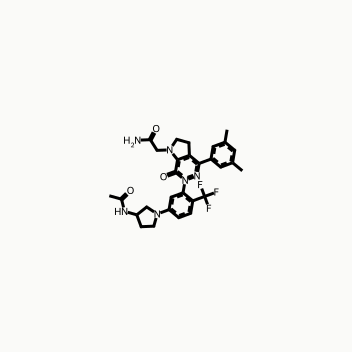 CC(=O)NC1CCN(c2ccc(C(F)(F)F)c(-n3nc(-c4cc(C)cc(C)c4)c4c(c3=O)N(CC(N)=O)CC4)c2)C1